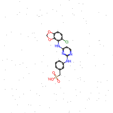 O=S(=O)(O)Cc1cccc(Nc2nccc(Nc3c(Cl)ccc4c3OCO4)n2)c1